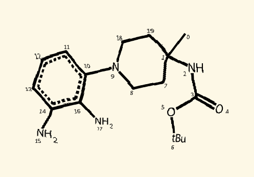 CC1(NC(=O)OC(C)(C)C)CCN(c2cccc(N)c2N)CC1